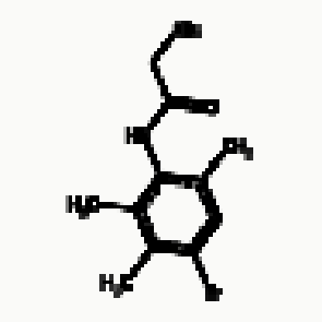 Cc1cc(Br)c(C)c(C)c1NC(=O)CC(C)(C)C